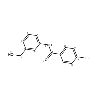 O=C(Nc1cccc(CO)c1)c1ccc(F)cc1